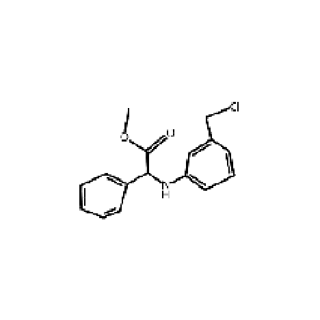 COC(=O)C(Nc1cccc(CCl)c1)c1ccccc1